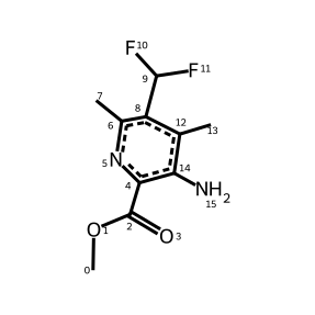 COC(=O)c1nc(C)c(C(F)F)c(C)c1N